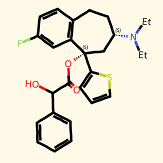 CCN(CC)[C@H]1CCc2ccc(F)cc2[C@](OC(=O)C(O)c2ccccc2)(c2cccs2)C1